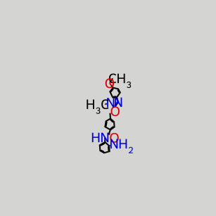 COc1ccc2nc(OCc3ccc(C(=O)Nc4ccccc4N)cc3)n(C)c2c1